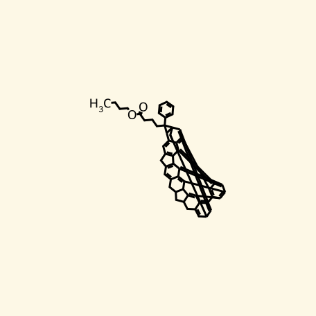 CCCCOC(=O)CCCC1(c2ccccc2)C2c3cc4c5c6c(cc7c8c9c%10c%11c%12c%13c%14c%15c(c%16c3c5c(c%10c86)c%16c%14%11)C21CC%15C=C%13CC1CC(C7)C9C=%121)C4